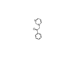 O=C(CN1C=CC=NC1)c1ccccc1